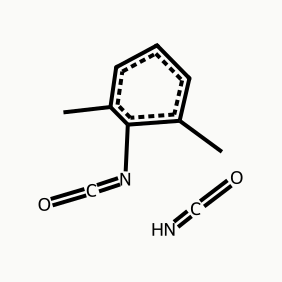 Cc1cccc(C)c1N=C=O.N=C=O